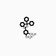 O=C(OC(c1ccccc1)(c1ccccc1)c1ccccc1)c1ccc(C(=O)O)c(C(=O)O)c1